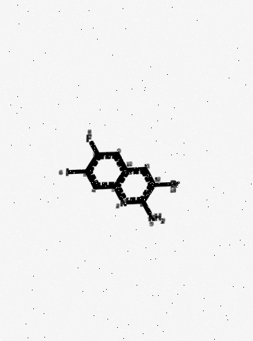 Nc1nc2cc(I)c(F)cc2cc1Br